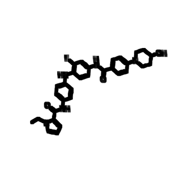 CCn1cccc1C(=O)Nc1ccc(Nc2ccc(NC(=O)c3ccc(N4CCC(O)CC4)cc3)cc2F)cc1